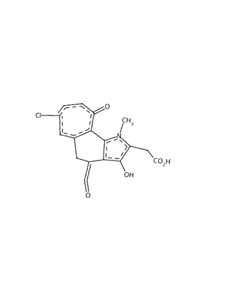 Cn1c(CC(=O)O)c(O)c2c1-c1c(cc(Cl)ccc1=O)CC2=C=O